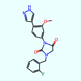 COc1cc(N2C(=O)CN(Cc3ccccc3F)C2=O)ccc1-c1cn[nH]c1